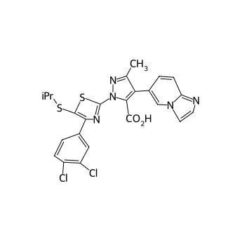 Cc1nn(-c2nc(-c3ccc(Cl)c(Cl)c3)c(SC(C)C)s2)c(C(=O)O)c1-c1ccc2nccn2c1